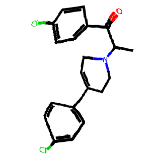 CC(C(=O)c1ccc(Cl)cc1)N1CC=C(c2ccc(Cl)cc2)CC1